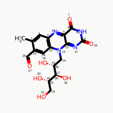 Cc1cc2nc3c(=O)[nH]c(=O)nc-3n(C[C@@H](O)[C@@H](O)[C@@H](O)CO)c2cc1C=O